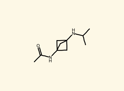 CC(=O)NC12CC(NC(C)C)(C1)C2